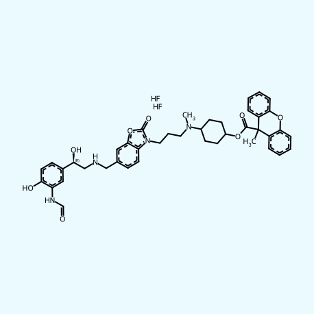 CN(CCCn1c(=O)oc2cc(CNC[C@H](O)c3ccc(O)c(NC=O)c3)ccc21)C1CCC(OC(=O)C2(C)c3ccccc3Oc3ccccc32)CC1.F.F